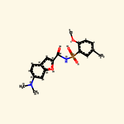 CCOc1ccc([N+](=O)[O-])cc1S(=O)(=O)NC(=O)c1cc2ccc(N(C)C)cc2o1